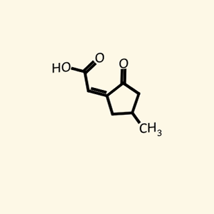 CC1CC(=O)C(=CC(=O)O)C1